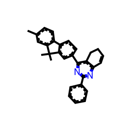 Cc1ccc2c(c1)C(C)(C)c1cc(-c3nc(-c4ccccc4)nc4c3CCC=C4)ccc1-2